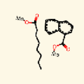 CCCCCCCC(=O)[O][Mo].O=C([O][Mo])c1cccc2ccccc12